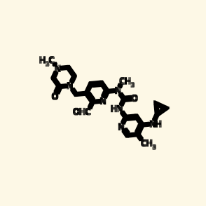 Cc1cnc(NC(=O)N(C)c2ccc(CN3CCN(C)CC3=O)c(C=O)n2)cc1NC1CC1